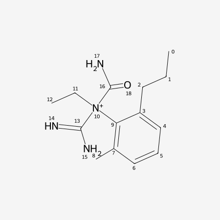 CCCc1cccc(C)c1[N+](CC)(C(=N)N)C(N)=O